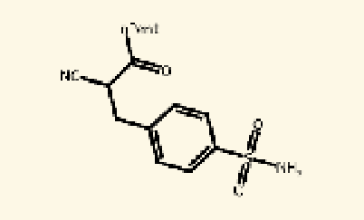 CCCCCC(=O)C(C#N)Cc1ccc(S(N)(=O)=O)cc1